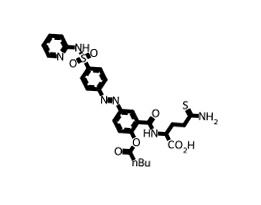 CCCCC(=O)Oc1ccc(/N=N/c2ccc(S(=O)(=O)Nc3ccccn3)cc2)cc1C(=O)NC(CCC(N)=S)C(=O)O